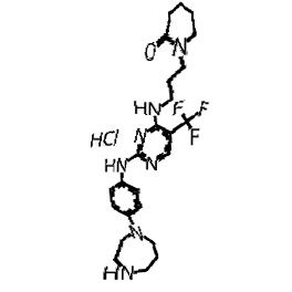 Cl.O=C1CCCCN1CCCNc1nc(Nc2ccc(N3CCCNCC3)cc2)ncc1C(F)(F)F